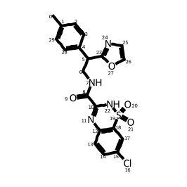 Cc1ccc(C(CNC(=O)C2=Nc3ccc(Cl)cc3S(=O)(=O)N2)c2ncco2)cc1